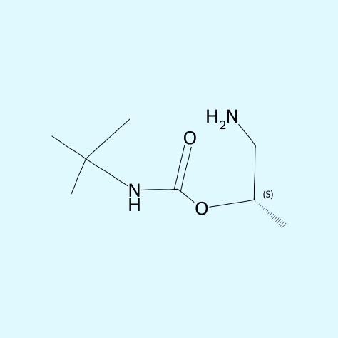 C[C@@H](CN)OC(=O)NC(C)(C)C